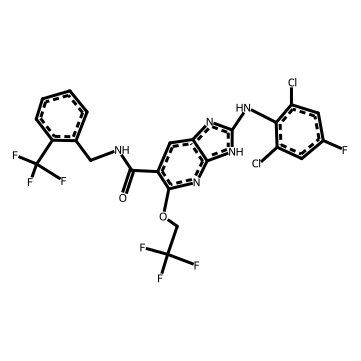 O=C(NCc1ccccc1C(F)(F)F)c1cc2nc(Nc3c(Cl)cc(F)cc3Cl)[nH]c2nc1OCC(F)(F)F